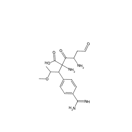 COC(C)C(c1ccc(C(=N)N)cc1)C(N)(C(=O)O)C(=O)C(N)CC=O